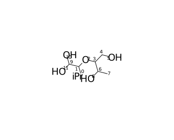 CC(C)C(OC(CO)C(C)O)C(O)O